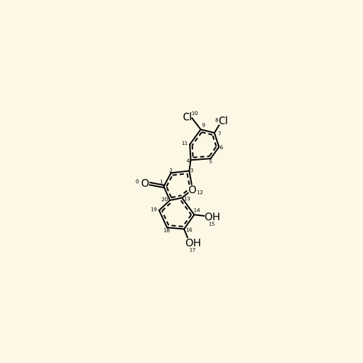 O=c1cc(-c2ccc(Cl)c(Cl)c2)oc2c(O)c(O)ccc12